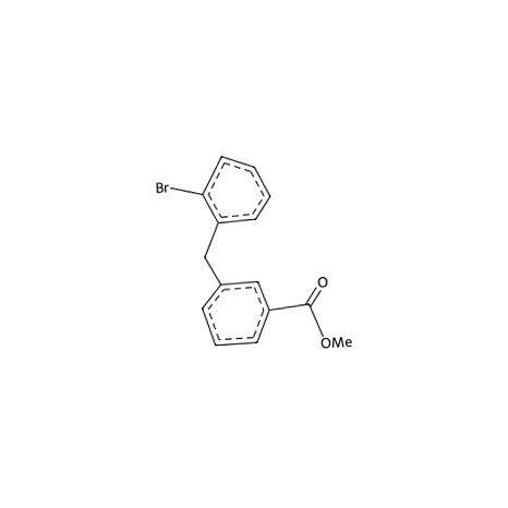 COC(=O)c1cccc(Cc2ccccc2Br)c1